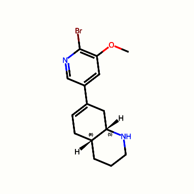 COc1cc(C2=CC[C@H]3CCCN[C@H]3C2)cnc1Br